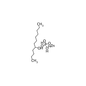 CCCCCCCC(O)CCCC.O=P(O)(O)O.[Zn]